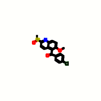 COc1ccc2nc([S+](C)[O-])ccc2c1C(=O)c1ccc(Cl)cc1